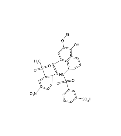 CCOc1cc(N=Nc2ccc([N+](=O)[O-])cc2S(C)(=O)=O)c2c(NS(=O)(=O)c3cccc(S(=O)(=O)O)c3)cccc2c1O